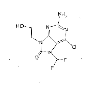 Nc1nc(Cl)c2c(n1)n(CCO)c(=O)n2C(F)F